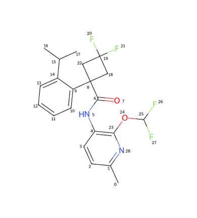 Cc1ccc(NC(=O)C2(c3ccccc3C(C)C)CC(F)(F)C2)c(OC(F)F)n1